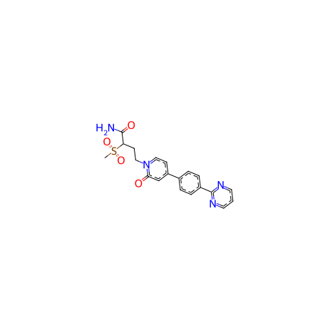 CS(=O)(=O)C(CCn1ccc(-c2ccc(-c3ncccn3)cc2)cc1=O)C(N)=O